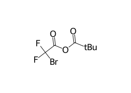 CC(C)(C)C(=O)OC(=O)C(F)(F)Br